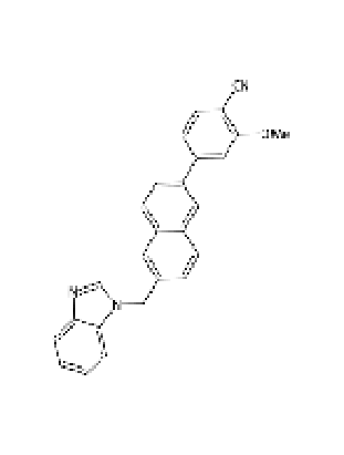 COc1cc(-c2ccc3cc(Cn4cnc5ccccc54)ccc3c2)ccc1C#N